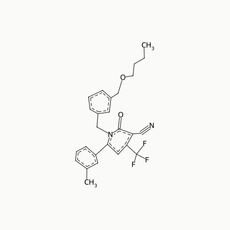 CCCCOCc1cccc(Cn2c(-c3cccc(C)c3)cc(C(F)(F)F)c(C#N)c2=O)c1